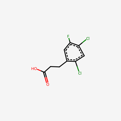 O=C(O)CCc1cc(F)c(Cl)cc1Cl